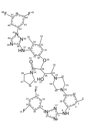 Cc1cc(Nc2ncn(-c3cc(F)cc(F)c3)n2)cc(N2CCN(C(C)C(O)C(Oc3cc(C)c(C)c(Nc4ncn(-c5cc(F)cc(F)c5)n4)c3)C(=O)N3CCCC3)CC2)c1